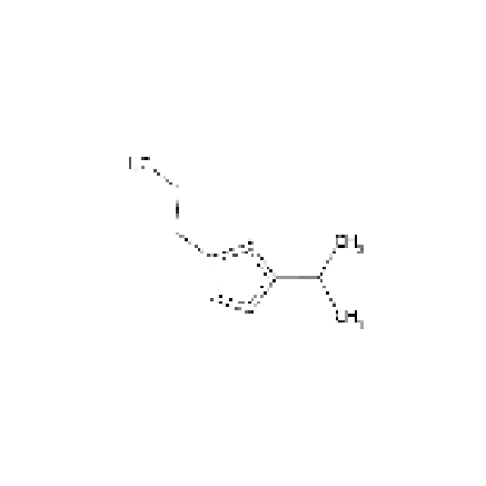 CCCc1ccc(C(C)C)s1